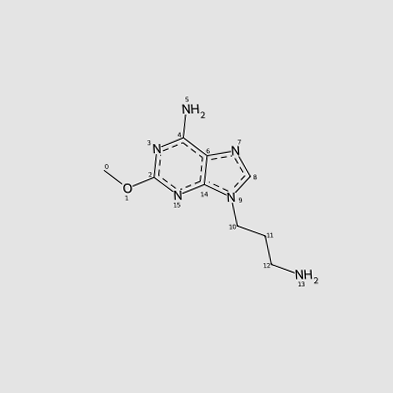 COc1nc(N)c2ncn(CCCN)c2n1